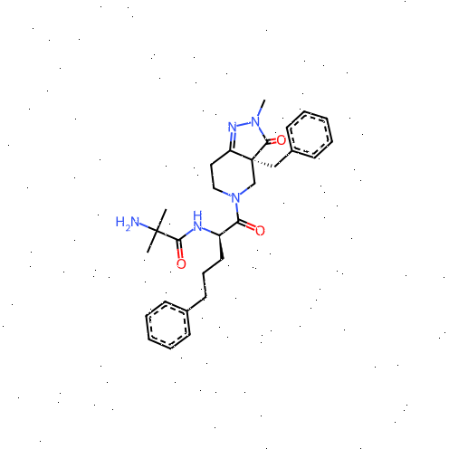 CN1N=C2CCN(C(=O)[C@@H](CCCc3ccccc3)NC(=O)C(C)(C)N)C[C@]2(Cc2ccccc2)C1=O